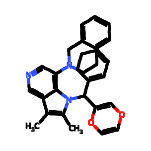 Cc1c(C)n(C(C2=CC=CCC2)C2=COC=CO2)c2c(N3CCc4ccccc4C3)cncc12